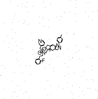 Cc1ccc(-n2ncc3c2C=C2CCC(CN(CCc4ccccc4F)S(=O)(=O)Cc4cccnc4)[C@@]2(C)C3)cc1